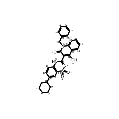 O=c1c(C2=NS(=O)(=O)c3cc(C4CCCCC4)ccc3N2)c(O)c2cccnc2n1Cc1ccccc1